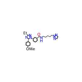 CCc1nc(-c2ccc(OC)cc2)n(-c2cccc(C(=O)NCCCCCn3nccn3)c2)n1